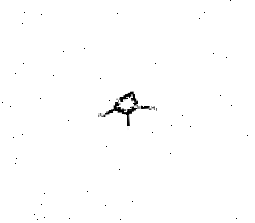 Cn1cnc(C(C)(C)C)c1I